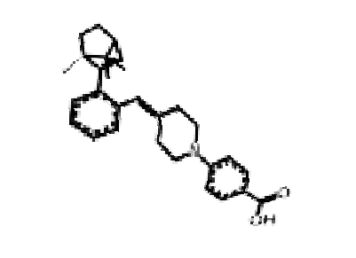 CC1(C)C2C=C(c3ccccc3C=C3CCN(c4ccc(C(=O)O)cc4)CC3)[C@@]1(C)CC2